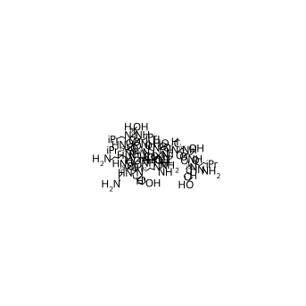 CC(C)CC(NN)C(=O)N[C@@H](Cc1ccc(O)cc1)C(=O)NC(CO)C(=O)N[C@@H](CC(=O)O)C(=O)NC(CC(=O)O)C(=O)N[C@@H](CO)C(=O)NC(CO)C(=O)N[C@@H](CC(N)=O)C(=O)NC(C(=O)N[C@H](C(=O)NC(CC(C)C)C(=O)N[C@@H](CC(C)C)C(=O)NC(CCCCN)C(=O)N[C@@H](CCCCN)C(=O)NC(Cc1ccc(O)cc1)C(=O)N[C@@H](CCCNC(=N)N)C(=O)NC(CO)C(=O)O)[C@@H](C)O)C(C)C